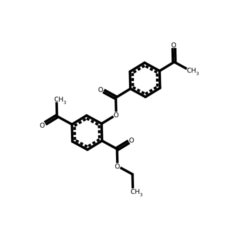 CCOC(=O)c1ccc(C(C)=O)cc1OC(=O)c1ccc(C(C)=O)cc1